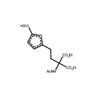 CCCCCCCCc1ccc(CCC(NC(C)=O)(C(=O)OCC)C(=O)OCC)s1